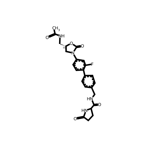 CC(=O)NC[C@H]1CN(c2ccc(-c3ccc(CNC(=O)C4CCC(=O)N4)cc3)c(F)c2)C(=O)O1